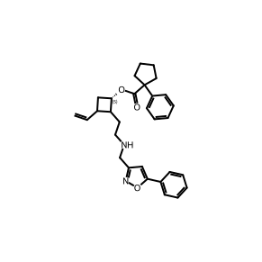 C=CC1C[C@H](OC(=O)C2(c3ccccc3)CCCC2)C1CCNCc1cc(-c2ccccc2)on1